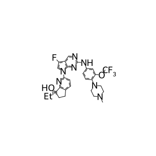 CC[C@@]1(O)CCc2ccc(-n3cc(F)c4cnc(Nc5ccc(N6CCN(C)CC6)c(OC(F)(F)F)c5)nc43)nc21